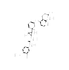 CC12CC(Oc3ccnc4c3CCC(=O)N4)=CC=C1O[C@@H]1C(NC(=O)Nc3ccc(C(F)(F)F)c(F)c3)[C@@H]12